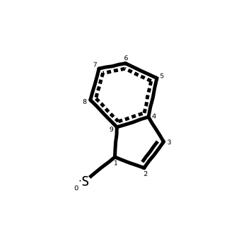 [S]C1C=Cc2ccccc21